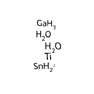 O.O.[GaH3].[SnH2].[Ti]